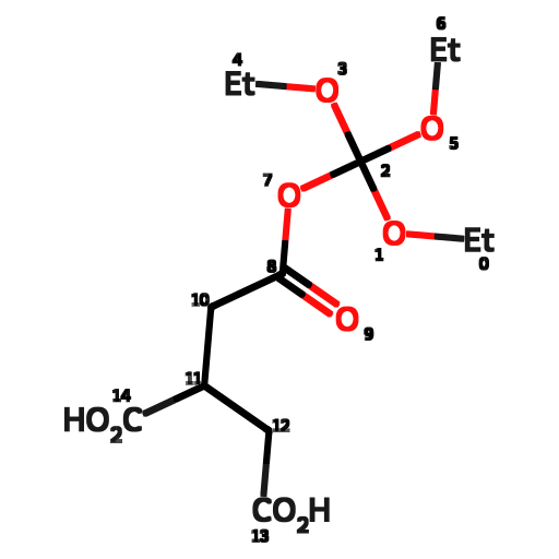 CCOC(OCC)(OCC)OC(=O)CC(CC(=O)O)C(=O)O